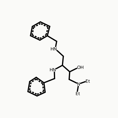 CCN(CC)CC(O)C(CNCc1ccccc1)NCc1ccccc1